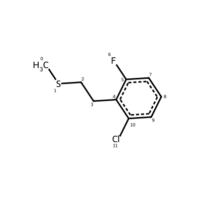 CSCCc1c(F)cccc1Cl